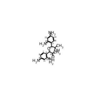 CC(O)C(OC(c1ccc(N)cc1N)C(C)O)c1ccc(N)cc1N